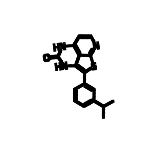 CC(C)c1cccc(-c2sc3nccc4c3c2NC(=O)N4)c1